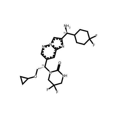 N[C@H](c1cn2ncc([C@@H](COC3CC3)N3CC(F)(F)CNC3=O)cc2n1)C1CCC(F)(F)CC1